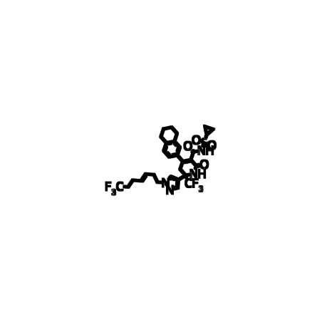 O=C1NC(c2cnn(CC/C=C/CCC(F)(F)F)c2)(C(F)(F)F)CC(c2ccc3c(c2)CCCC3)=C1C(=O)NS(=O)(=O)C1CC1